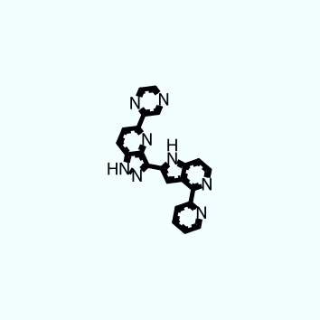 c1ccc(-c2nccc3[nH]c(-c4n[nH]c5ccc(-c6cnccn6)nc45)cc23)nc1